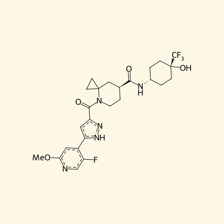 COc1cc(-c2cc(C(=O)N3CC[C@H](C(=O)N[C@H]4CC[C@](O)(C(F)(F)F)CC4)CC34CC4)n[nH]2)c(F)cn1